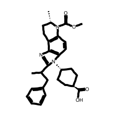 COC(=O)N1c2ccc3c(nc(C(C)Cc4ccccc4)n3[C@H]3CC[C@H](C(=O)O)CC3)c2CC[C@@H]1C